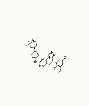 COc1cc(OC)c(Cl)c(-c2cc3cnc(Nc4ccc(N5CCN(C)C(C)(C)C5)cc4)nc3n3cnnc23)c1